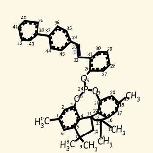 Cc1cc2c3c(c1)C(C)(C)CC31CC(C)(C)c3cc(C)cc(c31)OP(Oc1ccccc1/C=C/c1ccc(-c3ccccc3)cc1)O2